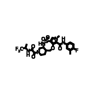 Cc1cc(NC(=O)c2c3c(cn2C)S(=O)(=O)NC2CN(C(=O)C(=O)NC(C)C(F)(F)F)CCC2CO3)ccc1F